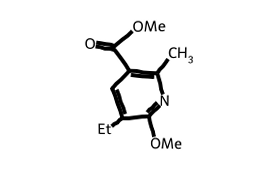 CCc1cc(C(=O)OC)c(C)nc1OC